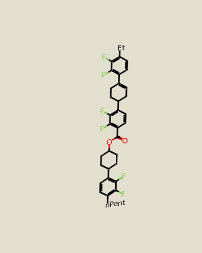 CCCCCc1ccc(C2CCC(OC(=O)c3ccc(C4CC=C(c5ccc(CC)c(F)c5F)CC4)c(F)c3F)CC2)c(F)c1F